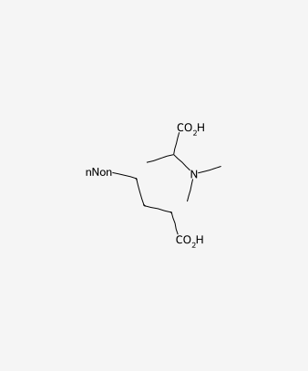 CC(C(=O)O)N(C)C.CCCCCCCCCCCCC(=O)O